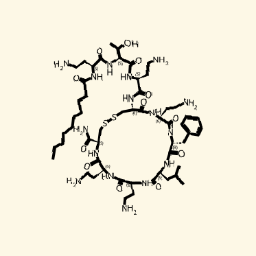 CCCCCCCCCC(=O)N[C@@H](CCN)C(=O)N[C@H](C(=O)N[C@@H](CCN)C(=O)N[C@H]1CSSC[C@H](C(N)=O)NC(=O)[C@H](CCN)NC(=O)[C@H](CCN)NC(=O)[C@H](CC(C)C)NC(=O)[C@@H](Cc2ccccc2)NC(=O)[C@H](CCN)NC1=O)C(C)O